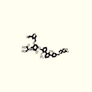 Cc1c(COc2cc(OCc3cncc(C#N)c3)c(CNC(CO)C(=O)O)cc2Cl)cccc1-c1cccc(-c2ccc(CN3CCC4(CNC(=O)C4)C3)cc2)c1C